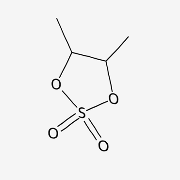 CC1OS(=O)(=O)OC1C